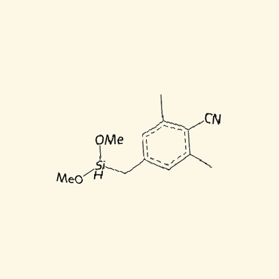 CO[SiH](Cc1cc(C)c(C#N)c(C)c1)OC